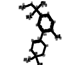 CCC(C)(C)c1ccc(N)c(C2=CCC(C)(C)CC2)c1